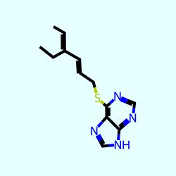 C/C=C(/C=C/CSc1ncnc2[nH]cnc12)CC